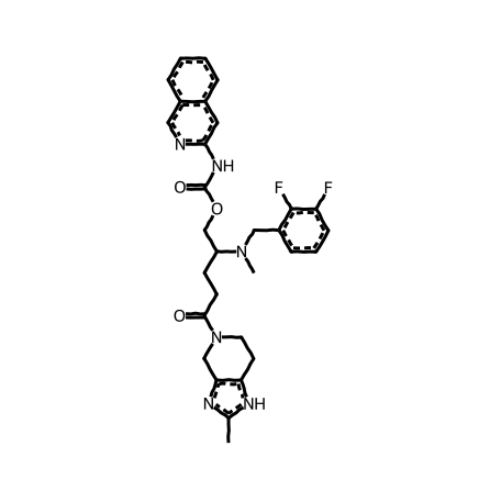 Cc1nc2c([nH]1)CCN(C(=O)CCC(COC(=O)Nc1cc3ccccc3cn1)N(C)Cc1cccc(F)c1F)C2